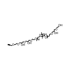 C#CCOCCOCC(O)COCC(O)COCCOC(C)(F)CCOC(C)(N)C(C)(F)COC(C)(C)CCOCC(O)COCCO